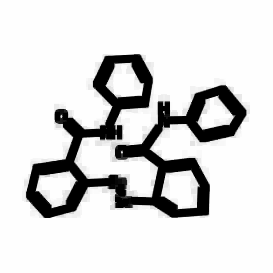 O=C(Nc1ccccc1)c1ccccc1[Se][Se]c1ccccc1C(=O)Nc1ccccc1